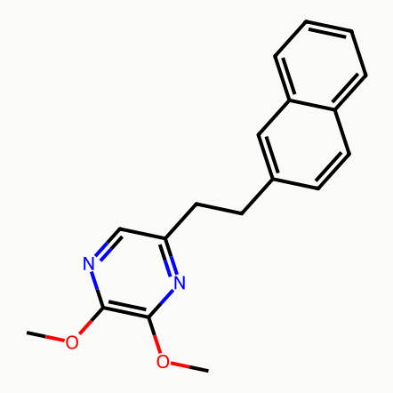 COc1ncc(CCc2ccc3ccccc3c2)nc1OC